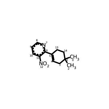 CC1(C)CC=C(c2ncccc2[N+](=O)[O-])CC1